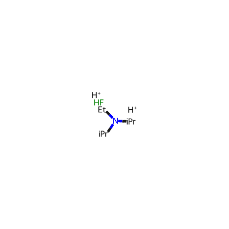 CCN(C(C)C)C(C)C.F.[H+].[H+]